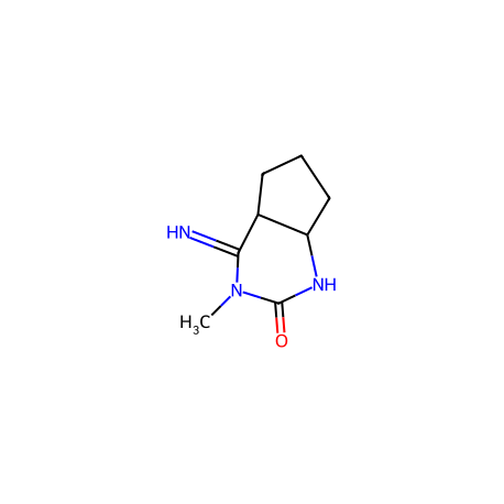 CN1C(=N)C2CCCC2NC1=O